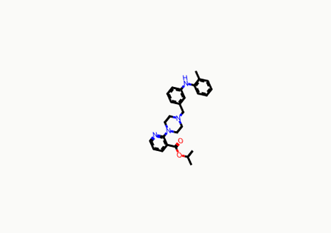 Cc1ccccc1Nc1cccc(CN2CCN(c3ncccc3C(=O)OC(C)C)CC2)c1